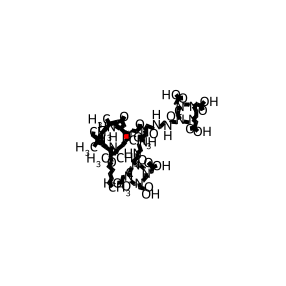 CCCCCCOC(C)c1c(C)c2cc3nc(c4c5[nH]c(cc6nc(cc1[nH]2)C(C)=C6CC)c(C)c5C(=O)C4)[C@@H](CCC(=O)N(CC(=O)NCCNC(=O)CN1CCN(CC(=O)O)CCN(CC(=O)O)CCN(CC(=O)O)CC1)CC(=O)NCCNC(=O)CN1CCN(CC(=O)O)CCN(CC(=O)O)CCN(CC(=O)O)CC1)C3C